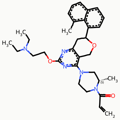 C=CC(=O)N1CCN(c2nc(OCCN(CC)CC)nc3c2COC(c2cccc4cccc(C)c24)C3)C[C@@H]1C